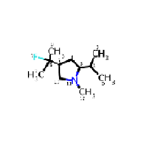 CC(C)C1C[C@H](C(C)(C)F)CN1C